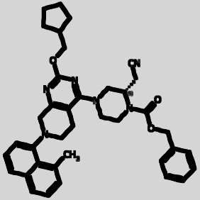 Cc1cccc2cccc(N3CCc4c(nc(OCC5CCCC5)nc4N4CCN(C(=O)OCc5ccccc5)[C@@H](CC#N)C4)C3)c12